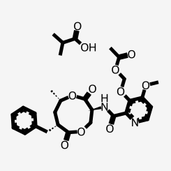 CC(C)C(=O)O.COc1ccnc(C(=O)N[C@H]2COC(=O)[C@H](Cc3ccccc3)C[C@H](C)OC2=O)c1OCOC(C)=O